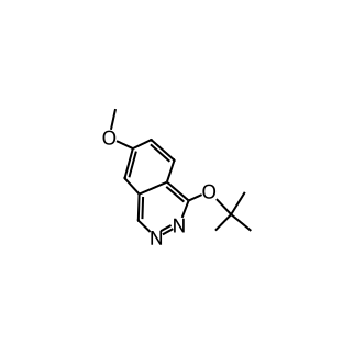 COc1ccc2c(OC(C)(C)C)nncc2c1